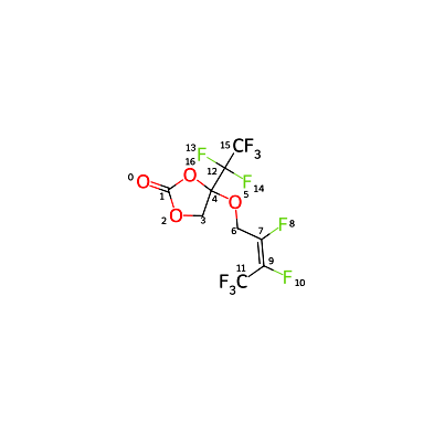 O=C1OCC(OC/C(F)=C(/F)C(F)(F)F)(C(F)(F)C(F)(F)F)O1